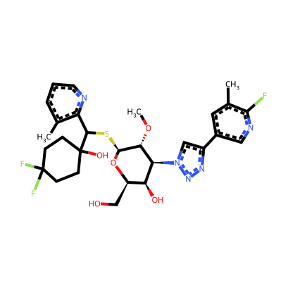 CO[C@@H]1[C@@H](n2cc(-c3cnc(F)c(C)c3)nn2)[C@@H](O)[C@@H](CO)O[C@H]1SC(c1ncccc1C)C1(O)CCC(F)(F)CC1